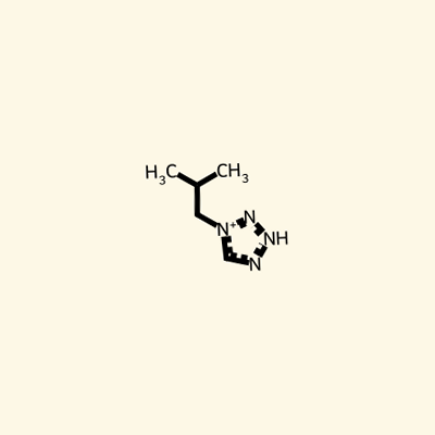 CC(C)C[n+]1cn[nH]n1